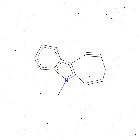 Cn1c2c(c3ccccc31)C#CCC=C2